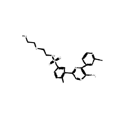 Cc1cc(-c2nc(-c3cc(S(=O)(=O)NCCOCCO)ccc3C)cnc2N)ccn1